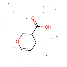 O=C(O)C1CC=COC1